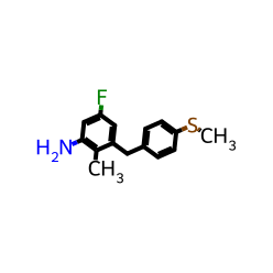 CSc1ccc(Cc2cc(F)cc(N)c2C)cc1